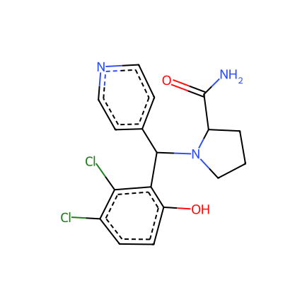 NC(=O)C1CCCN1C(c1ccncc1)c1c(O)ccc(Cl)c1Cl